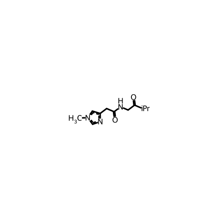 CC(C)C(=O)CNC(=O)Cc1cn(C)cn1